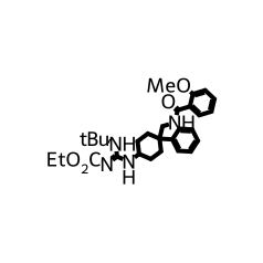 CCOC(=O)N=C(NC1CCC(CNC(=O)c2ccccc2OC)(c2ccccc2)CC1)NC(C)(C)C